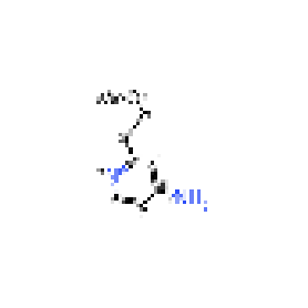 COCCc1cc(N)ccn1